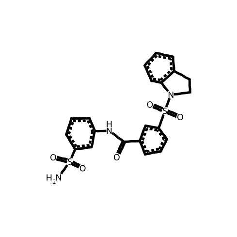 NS(=O)(=O)c1cccc(NC(=O)c2cccc(S(=O)(=O)N3CCc4ccccc43)c2)c1